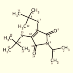 CC(C)N1C(=O)C(SC(C)(C)C)=C(SC(C)(C)C)C1=O